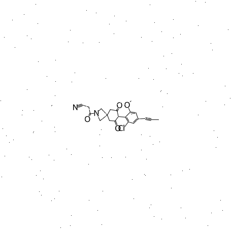 CC#Cc1cc(Cl)c(C2C(=O)CC3(CC2=O)CN(C(=O)CC#N)C3)c(OC)c1